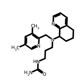 Cc1cnc(CN(CCCNC(N)=O)C2CCCc3cccnc32)c(C)c1